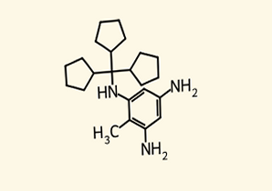 Cc1c(N)cc(N)cc1NC(C1CCCC1)(C1CCCC1)C1CCCC1